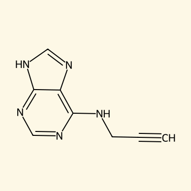 C#CCNc1ncnc2[nH]cnc12